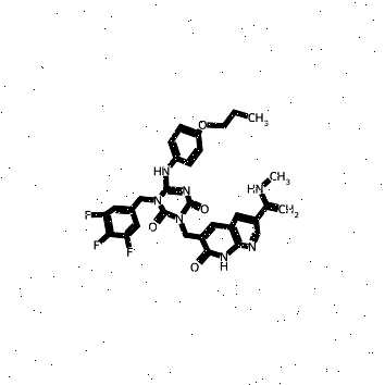 C=C(NC)c1cnc2[nH]c(=O)c(Cn3c(=O)nc(Nc4ccc(OCCC)cc4)n(Cc4cc(F)c(F)c(F)c4)c3=O)cc2c1